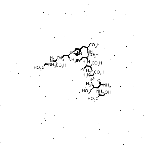 CC(C)C[C@H](N)C(=O)O.CC(C)C[C@H](N)C(=O)O.CC(C)C[C@H](N)C(=O)O.CC(C)[C@H](N)C(=O)O.C[C@H](N)C(=O)O.NC(=O)C[C@H](N)C(=O)O.NCC(=O)O.N[C@@H](CO)C(=O)O.N[C@@H](Cc1c[nH]cn1)C(=O)O